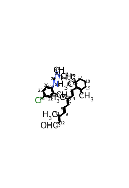 CC1=C(/C=C/C(C)=C/C=C/C(C)=C/C=O)C(C)(C)CCC1.Cc1cc(Cl)ccc1N=CN(C)C